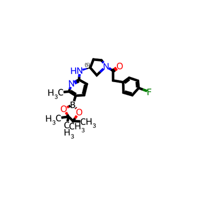 Cc1nc(N[C@H]2CCN(C(=O)Cc3ccc(F)cc3)C2)ccc1B1OC(C)(C)C(C)(C)O1